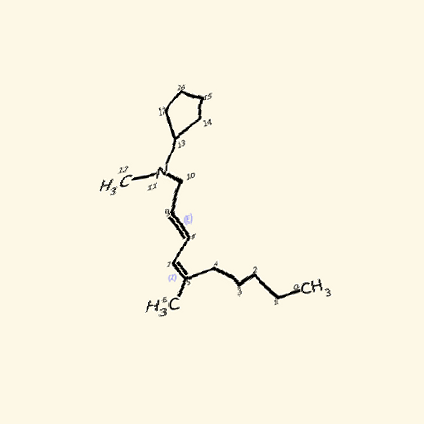 CCCCC/C(C)=C\C=C\CN(C)C1CCCC1